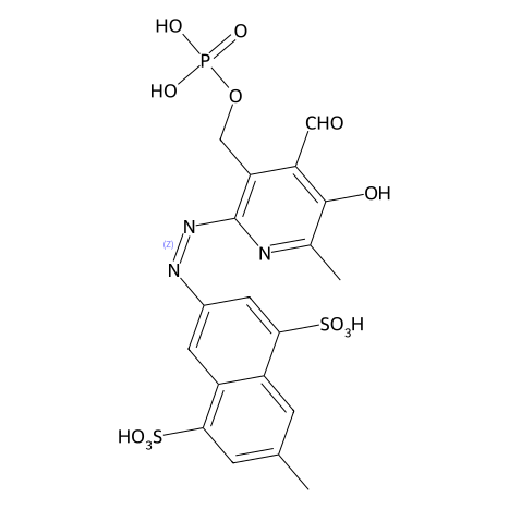 Cc1cc(S(=O)(=O)O)c2cc(/N=N\c3nc(C)c(O)c(C=O)c3COP(=O)(O)O)cc(S(=O)(=O)O)c2c1